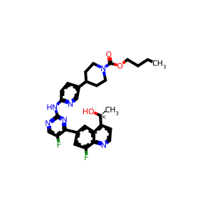 CCCCOC(=O)N1CCC(c2ccc(Nc3ncc(F)c(-c4cc(F)c5nccc([C@@H](C)O)c5c4)n3)nc2)CC1